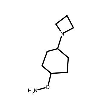 NOC1CCC(N2CCC2)CC1